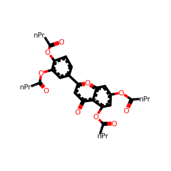 CCCC(=O)Oc1cc(OC(=O)CCC)c2c(=O)cc(-c3ccc(OC(=O)CCC)c(OC(=O)CCC)c3)oc2c1